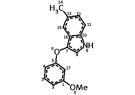 COc1cccc(Oc2c[nH]c3ccc(C)cc23)c1